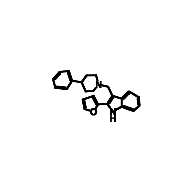 c1ccc(C2CCN(Cc3c(-c4ccco4)[nH]c4ccccc34)CC2)cc1